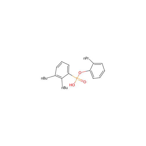 CCCCc1cccc(P(=O)(O)Oc2ccccc2CCC)c1CCCC